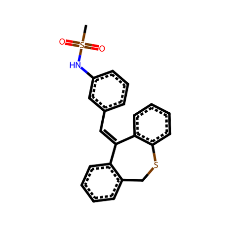 CS(=O)(=O)Nc1cccc(C=C2c3ccccc3CSc3ccccc32)c1